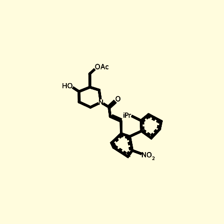 CC(=O)OCC1CN(C(=O)/C=C/c2cc[c]c([N+](=O)[O-])c2-c2ccccc2C(C)C)CCC1O